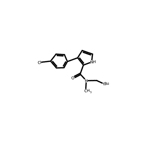 CN(CC(C)(C)C)C(=O)c1[nH]ccc1-c1ccc(Cl)cc1